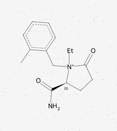 CC[N+]1(Cc2ccccc2C)C(=O)CC[C@H]1C(N)=O